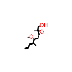 C=C/C=C(\C)C(C[C@@H]1O[C@@]1(C)CO)OC